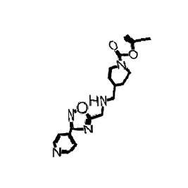 C=C(C)OC(=O)N1CCC(CNCc2nc(-c3ccncc3)no2)CC1